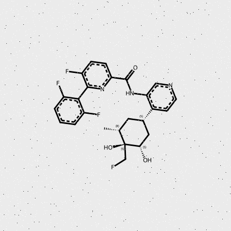 C[C@@H]1C[C@H](c2ccncc2NC(=O)c2ccc(F)c(-c3c(F)cccc3F)n2)C[C@H](O)[C@]1(O)CF